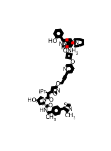 Cc1ncsc1-c1ccc([C@H](C)NC(=O)[C@@H]2C[C@@H](O)CN2C(=O)[C@H](c2cc(OCC#Cc3ccc(O[C@H]4C[C@H](Oc5cc(N6C7CCC6CN(c6cc(-c8ccccc8O)nnc6N)C7)ccn5)C4)cn3)no2)C(C)C)cc1